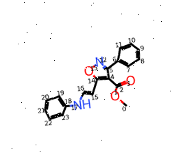 COC(=O)c1c(-c2ccccc2)noc1/C=C/Nc1ccccc1